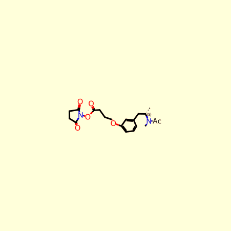 CC(=O)N(C)[C@@H](C)Cc1cccc(OCCCC(=O)ON2C(=O)CCC2=O)c1